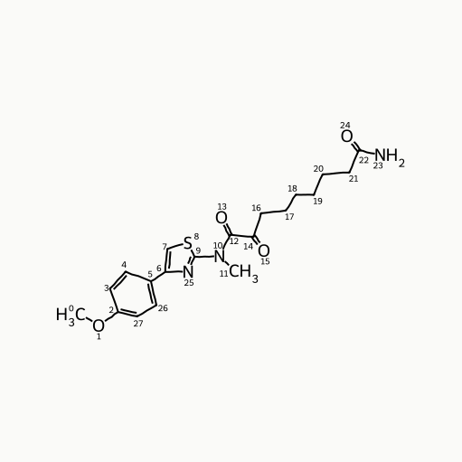 COc1ccc(-c2csc(N(C)C(=O)C(=O)CCCCCCC(N)=O)n2)cc1